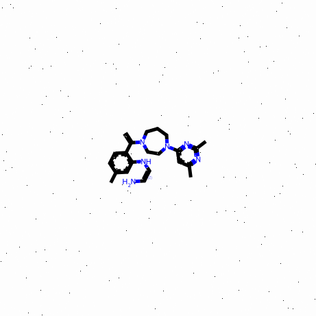 C=C(c1ccc(C)cc1N/C=C\N)N1CCCN(c2cc(C)nc(C)n2)CC1